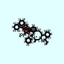 C=CC1=NC2CC(=C)[n+]3c(n(-c4c(C(C)C)cc(-c5ccccc5)cc4C(C)C)c4ccccc43)-c3c(ccc4c3oc3cc(-c5ccccc5)ccc34)CCC2c2ccccc21